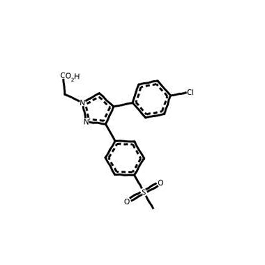 CS(=O)(=O)c1ccc(-c2nn(CC(=O)O)cc2-c2ccc(Cl)cc2)cc1